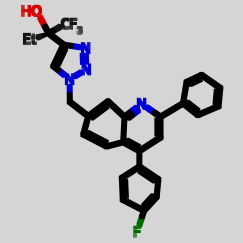 CC[C@](O)(c1cn(Cc2ccc3c(-c4ccc(F)cc4)cc(-c4ccccc4)nc3c2)nn1)C(F)(F)F